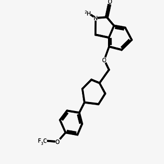 [2H]N1Cc2c(OCC3CCC(c4ccc(OC(F)(F)F)cc4)CC3)cccc2C1=O